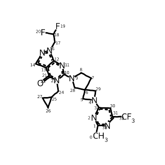 Cc1nc(N2CC3(CCN(c4nc5c(cnn5CC(F)F)c(=O)n4CC4CC4)C3)C2)cc(C(F)(F)F)n1